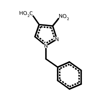 O=C(O)c1cn(Cc2ccccc2)nc1[N+](=O)[O-]